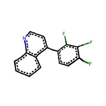 Fc1ccc(-c2ccnc3ccccc23)c(F)c1F